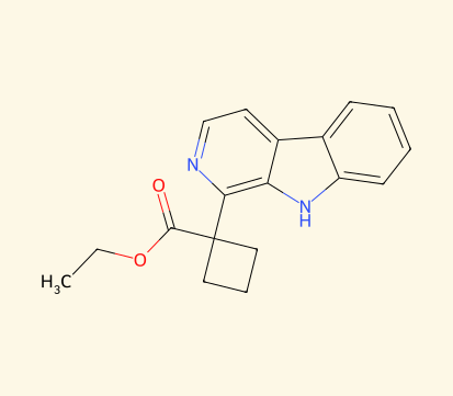 CCOC(=O)C1(c2nccc3c2[nH]c2ccccc23)CCC1